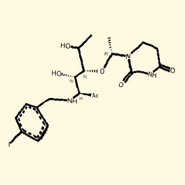 CC(=O)[C@@H](NCc1ccc(I)cc1)[C@H](O)[C@@H](O[C@H](C)N1CCC(=O)NC1=O)C(C)O